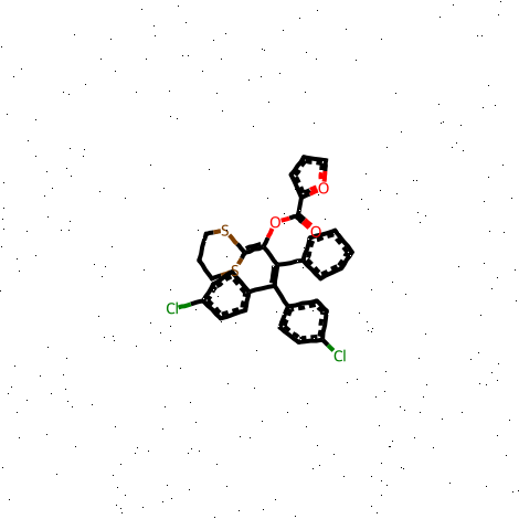 O=C(OC(=C1SCCCS1)C(=C(c1ccc(Cl)cc1)c1ccc(Cl)cc1)c1ccccc1)c1ccco1